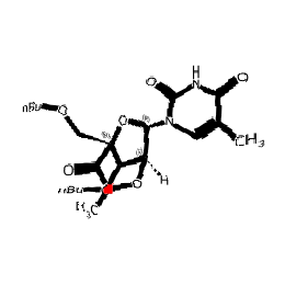 CCCCOC[C@]12O[C@@H](n3cc(C)c(=O)[nH]c3=O)[C@@H](ON(C)C1=O)C2OCCCC